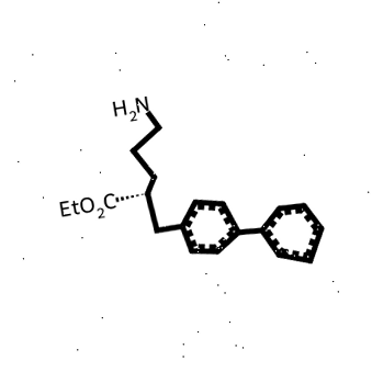 CCOC(=O)[C@H](CCCN)Cc1ccc(-c2ccccc2)cc1